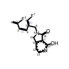 C=C(F)/C=C\C(=C\F)CN1Cc2ccnc(O)c2C1=O